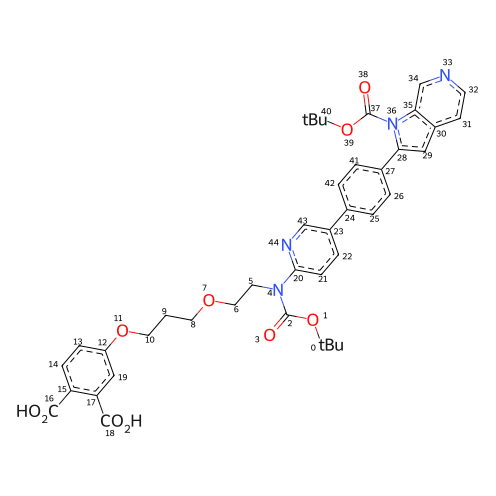 CC(C)(C)OC(=O)N(CCOCCCOc1ccc(C(=O)O)c(C(=O)O)c1)c1ccc(-c2ccc(-c3cc4ccncc4n3C(=O)OC(C)(C)C)cc2)cn1